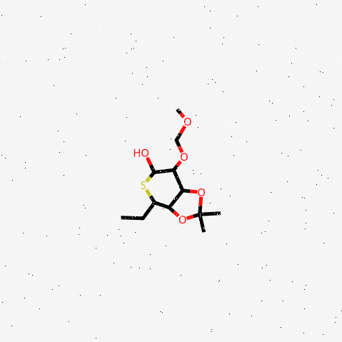 CCC1SC(O)C(OCOC)C2OC(C)(C)OC12